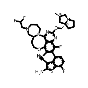 C[C@H]1CN2CCC[C@@]2(COc2nc3c4c(c(Cl)c(-c5ccc(F)c6sc(N)c(C#N)c56)c(F)c4n2)OCCC2CN(CC(F)F)CCCN32)C1